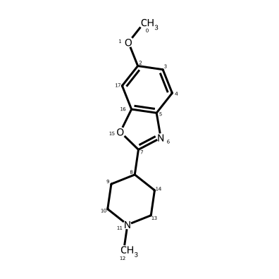 COc1ccc2nc(C3CCN(C)CC3)oc2c1